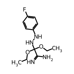 CCOC(NNc1ccc(F)cc1)(OCC)C(=N)N